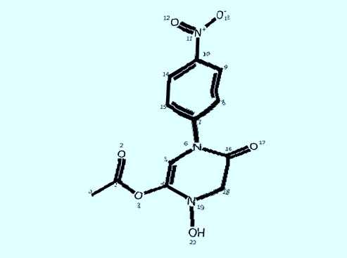 CC(=O)OC1=CN(c2ccc([N+](=O)[O-])cc2)C(=O)CN1O